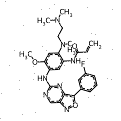 C=CC(=O)Nc1cc(Nc2ncc3noc(-c4cccc(F)c4)c3n2)c(OC)cc1N(C)CCN(C)C